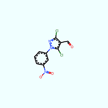 O=Cc1c(Cl)nn(-c2cccc([N+](=O)[O-])c2)c1Cl